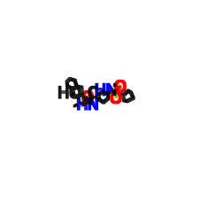 C/C(=C/C(=O)Nc1ccc(NS(=O)(=O)c2ccccc2)cc1C(=O)O)c1ccc2ccccc2c1